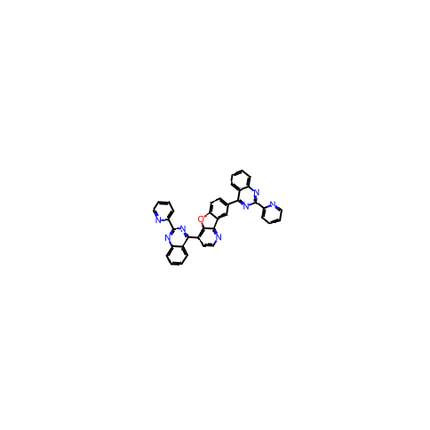 c1ccc(-c2nc(-c3ccc4oc5c(-c6nc(-c7ccccn7)nc7ccccc67)ccnc5c4c3)c3ccccc3n2)nc1